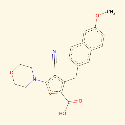 COc1ccc2cc(Cc3c(C(=O)O)sc(N4CCOCC4)c3C#N)ccc2c1